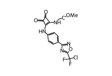 COCCNc1c(Nc2ccc(-c3noc(C(F)(F)Cl)n3)cc2)c(=O)c1=O